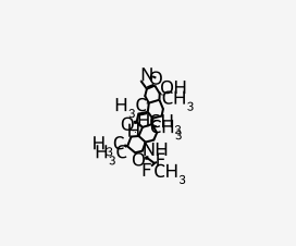 CC1(C)CC[C@]2(NC(=O)C(C)(F)F)CC[C@]3(C)[C@H](C(=O)C=C4[C@@]5(C)Cc6cnoc6[C@@](C)(O)C5CC[C@]43C)[C@@H]2C1